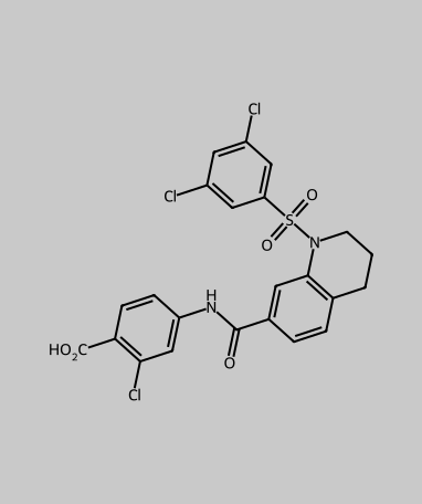 O=C(Nc1ccc(C(=O)O)c(Cl)c1)c1ccc2c(c1)N(S(=O)(=O)c1cc(Cl)cc(Cl)c1)CCC2